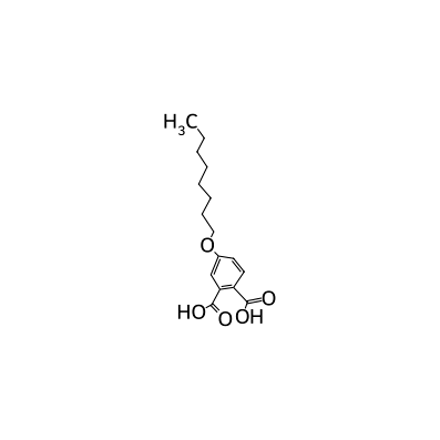 CCCCCCCCOc1ccc(C(=O)O)c(C(=O)O)c1